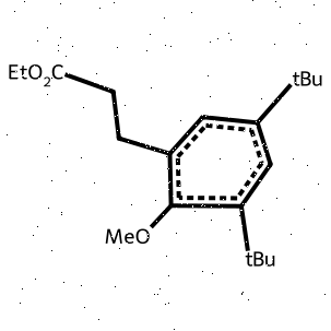 CCOC(=O)CCc1cc(C(C)(C)C)cc(C(C)(C)C)c1OC